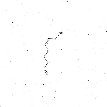 C=CCCC/C=C\CO